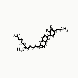 C=CCc1ccc(-c2ccc3nc(C=CCCCC(C)OCCCCC)ncc3c2)c(F)c1F